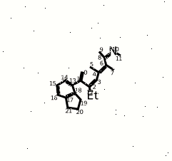 C=C(\C(=C/C(C)=C(C)/C(C)=N\C)CC)c1cccc2c1CCC2